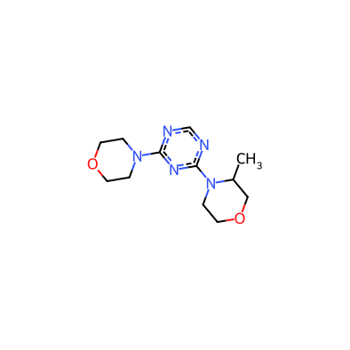 CC1COCCN1c1ncnc(N2CCOCC2)n1